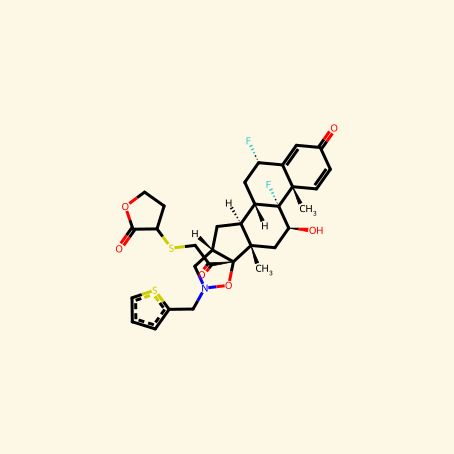 C[C@]12C=CC(=O)C=C1[C@@H](F)C[C@H]1[C@@H]3C[C@H]4CN(Cc5cccs5)O[C@@]4(C(=O)CSC4CCOC4=O)[C@@]3(C)C[C@H](O)[C@@]12F